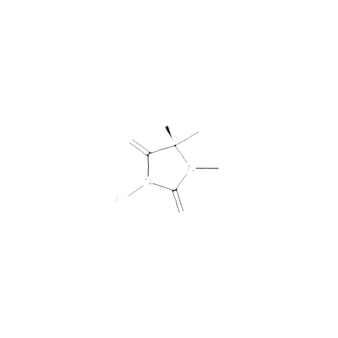 CC[C@]1(C)C(=O)N(C(C)C)C(=O)N1C